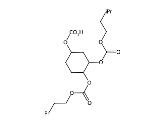 CC(C)CCOC(=O)OC1CCC(OC(=O)O)CC1OC(=O)OCCC(C)C